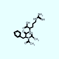 CC(=O)N(C(C)=O)C(Cc1ccccc1)C(=O)NC(CCCNC(=N)N)C(=O)O